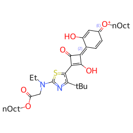 CCCCCCCCOC(=O)CN(CC)c1nc(C(C)(C)C)c(C2=C(O)/C(=C3C=C/C(=[O+]\CCCCCCCC)C=C\3O)C2=O)s1